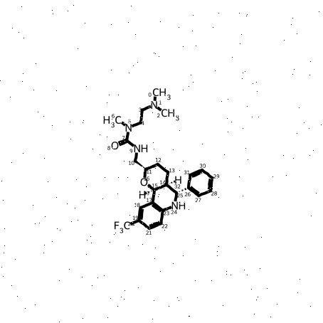 CN(C)CCN(C)C(=O)NC[C@H]1CC[C@@H]2[C@H](O1)c1cc(C(F)(F)F)ccc1N[C@H]2c1ccccc1